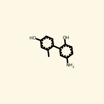 Cc1cc(O)ccc1-c1cc(N)ccc1O